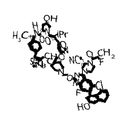 C=C(F)C(=O)N1CCN(c2nc(OCCN3CCC(C)(COc4cc([C@@H](C(=O)N5C[C@H](O)C[C@H]5C(=O)N[C@@H](C)c5ccc(-c6scnc6C)cc5)C(C)C)on4)CC3)nc3c(F)c(-c4cc(O)cc5ccccc45)c(Cl)cc23)C[C@@H]1CC#N